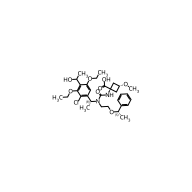 CCOc1cc([C@@H](C)N(CCO[C@@H](C)c2ccccc2)C(=O)N[C@]2(C(=O)O)C[C@@H](OC)C2)c(Cl)c(OCC)c1C(C)O